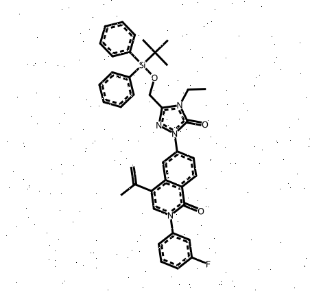 C=C(C)c1cn(-c2cccc(F)c2)c(=O)c2ccc(-n3nc(CO[Si](c4ccccc4)(c4ccccc4)C(C)(C)C)n(CC)c3=O)cc12